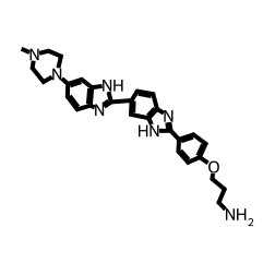 CN1CCN(c2ccc3nc(-c4ccc5nc(-c6ccc(OCCCN)cc6)[nH]c5c4)[nH]c3c2)CC1